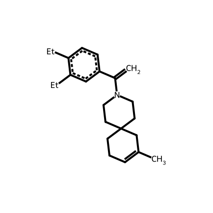 C=C(c1ccc(CC)c(CC)c1)N1CCC2(CCC=C(C)C2)CC1